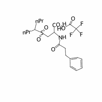 CCCC(CCC)S(=O)(=O)CC(NC(=O)CCc1ccccc1)C(=O)O.O=C(O)C(F)(F)F